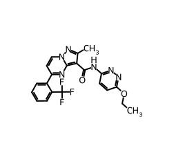 CCOc1ccc(NC(=O)c2c(C)nn3ccc(-c4ccccc4C(F)(F)F)nc23)nn1